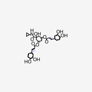 O=C(/C=C/c1ccc(O)c(O)c1)O[C@H]1C[C@H](OC(=O)/C=C/c2ccc(O)c(O)c2)CC(O)(C(=O)NC2CC2)C1